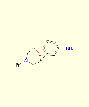 CC(C)N1CC2OC(C1)c1cc(N)ccc12